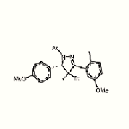 CCC1(C)C(c2cc(OC)ccc2C)=NN(C(C)=O)[C@H]1c1ccc(OC)cc1